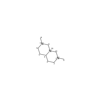 CN1CCC2CCN(C)CN2C1